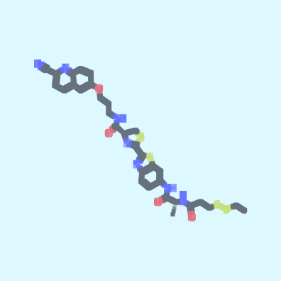 CCSSCCC(=O)N[C@H](C)C(=O)Nc1ccc2nc(C3=N[C@@H](C(=O)NCCCOc4ccc5nc(C#N)ccc5c4)CS3)sc2c1